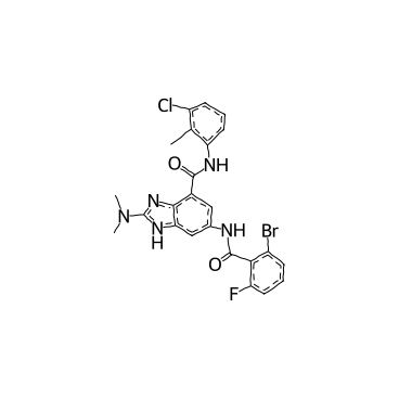 Cc1c(Cl)cccc1NC(=O)c1cc(NC(=O)c2c(F)cccc2Br)cc2[nH]c(N(C)C)nc12